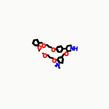 COCCCOc1cc(COC2CNCCC2c2ccc(OCCCOCc3ccccc3OC)cc2)ccc1N(C)C